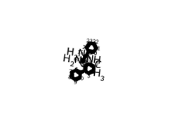 Cc1ccc(-c2ccccc2)cc1NC(N)(C(N)=O)c1ccccc1